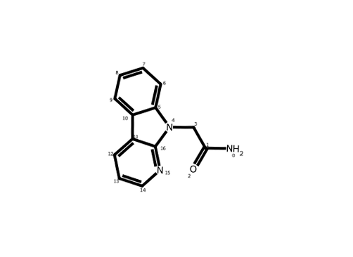 NC(=O)Cn1c2ccccc2c2cccnc21